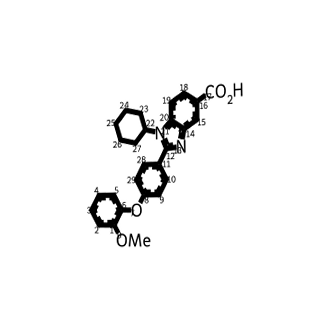 COc1ccccc1Oc1ccc(-c2nc3cc(C(=O)O)ccc3n2C2CCCCC2)cc1